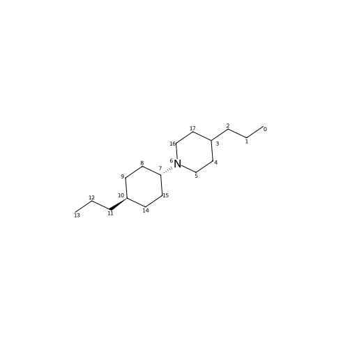 CCCC1CCN([C@H]2CC[C@H](CCC)CC2)CC1